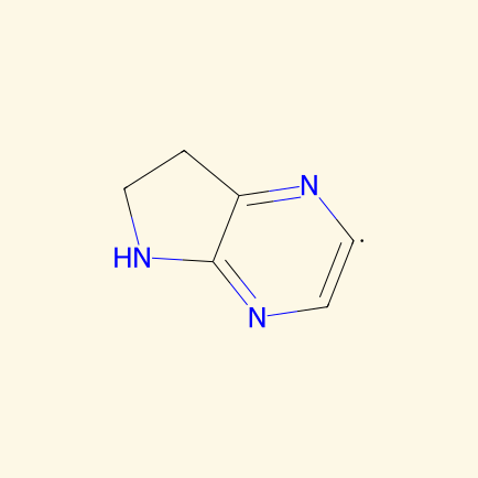 [c]1cnc2c(n1)CCN2